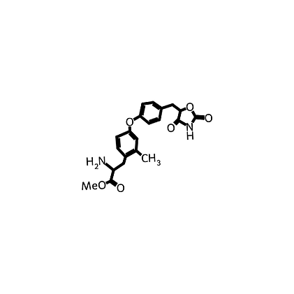 COC(=O)C(N)Cc1ccc(Oc2ccc(CC3OC(=O)NC3=O)cc2)cc1C